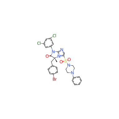 C[C@@]1(Cc2ccc(Br)cc2)C(=O)N(c2cc(Cl)cc(Cl)c2)c2ncc(S(=O)(=O)N3CCN(c4ccccc4)CC3)n21